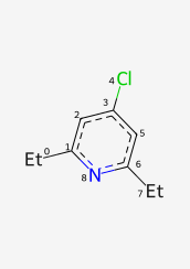 CCc1cc(Cl)cc(CC)n1